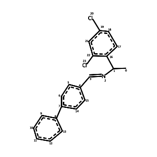 CC(N=Cc1ccc(-c2ccccc2)cc1)c1ccc(Cl)cc1Cl